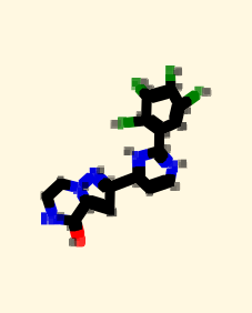 O=C1NCCn2nc(-c3ccnc(-c4cc(F)c(F)c(F)c4F)n3)cc21